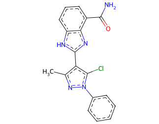 Cc1nn(-c2ccccc2)c(Cl)c1-c1nc2c(C(N)=O)cccc2[nH]1